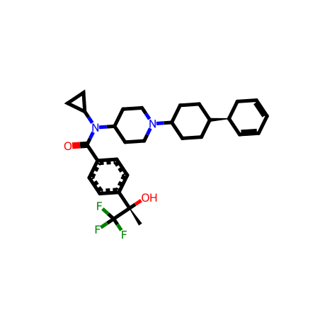 C[C@](O)(c1ccc(C(=O)N(C2CC2)C2CCN(C3CCC([C@@H]4C=CC=CC4)CC3)CC2)cc1)C(F)(F)F